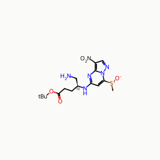 C[S+]([O-])c1cc(N[C@H](CN)CCC(=O)OC(C)(C)C)nc2c([N+](=O)[O-])cnn12